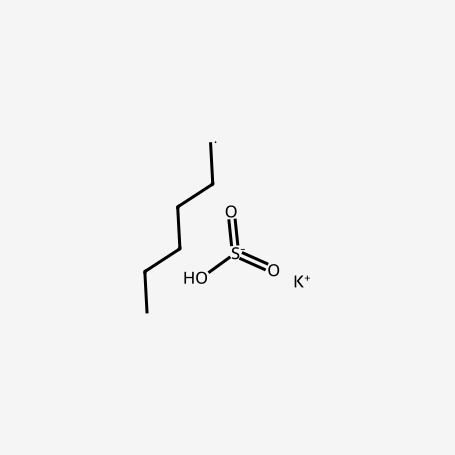 O=[S-](=O)O.[CH2]CCCCC.[K+]